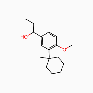 CCC(O)c1ccc(OC)c(C2(C)CCCCC2)c1